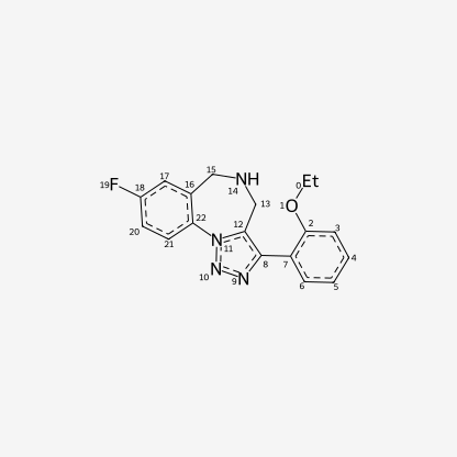 CCOc1ccccc1-c1nnn2c1CNCc1cc(F)ccc1-2